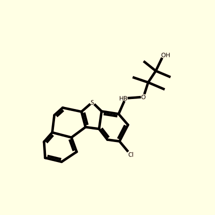 CC(C)(O)C(C)(C)OBc1cc(Cl)cc2c1sc1ccc3ccccc3c12